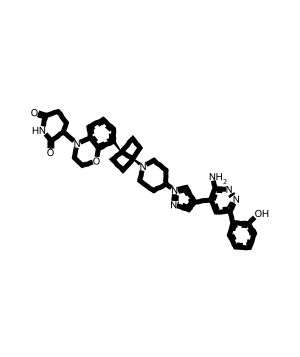 Nc1nnc(-c2ccccc2O)cc1-c1cnn(C2CCN([C@]34CC[C@@]3(c3cccc5c3OCCN5C3CCC(=O)NC3=O)CC4)CC2)c1